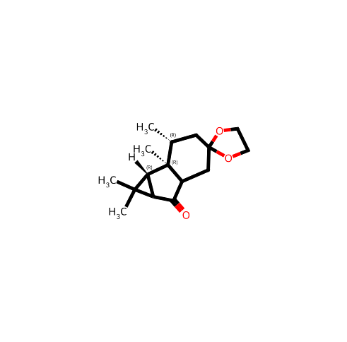 C[C@@H]1CC2(CC3C(=O)C4[C@H](C4(C)C)[C@]31C)OCCO2